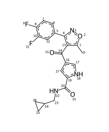 Cc1onc(-c2ccc(F)c(F)c2)c1C(=O)c1c[nH]c(C(=O)NCC2CC2)c1